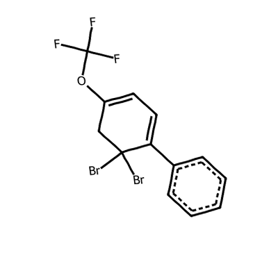 FC(F)(F)OC1=CC=C(c2ccccc2)C(Br)(Br)C1